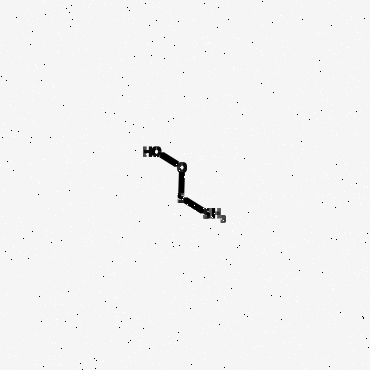 OOS[SiH3]